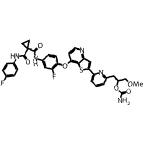 COCC(Cc1cccc(-c2cc3nccc(Oc4ccc(NC(=O)C5(C(=O)Nc6ccc(F)cc6)CC5)cc4F)c3s2)n1)OC(N)=O